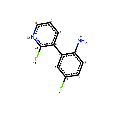 Nc1ccc(F)cc1-c1cccnc1F